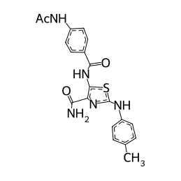 CC(=O)Nc1ccc(C(=O)Nc2sc(Nc3ccc(C)cc3)nc2C(N)=O)cc1